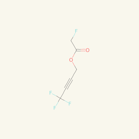 O=C(CF)OCC#CC(F)(F)F